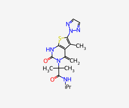 C=C1c2c(sc(-n3nccn3)c2C)NC(=O)N1C(C)(C)C(=O)NC(C)C